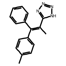 CC(=C(c1ccccc1)c1ccc(C)cc1)c1nnn[nH]1